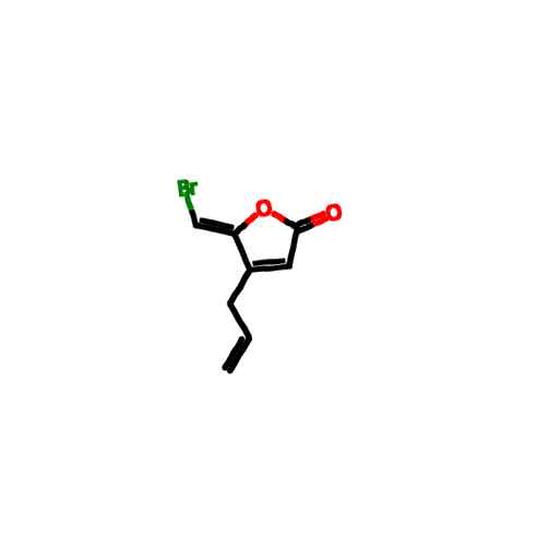 C=CCC1=CC(=O)O/C1=C\Br